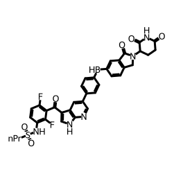 CCCS(=O)(=O)Nc1ccc(F)c(C(=O)c2c[nH]c3ncc(-c4ccc(Bc5ccc6c(c5)C(=O)N(C5CCC(=O)NC5=O)C6)cc4)cc23)c1F